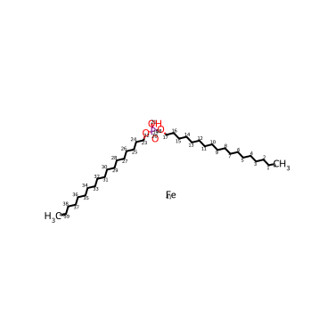 CCCCCCCCCCCCCCCCCCOP(=O)(O)OCCCCCCCCCCCCCCCCCC.[Fe]